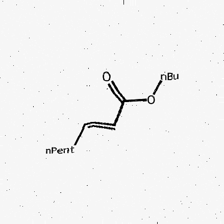 CCCCC/C=C/C(=O)OCCCC